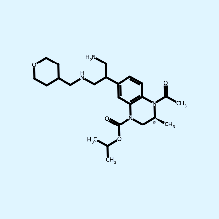 CC(=O)N1c2ccc(C(CN)CNCC3CCOCC3)cc2N(C(=O)OC(C)C)C[C@@H]1C